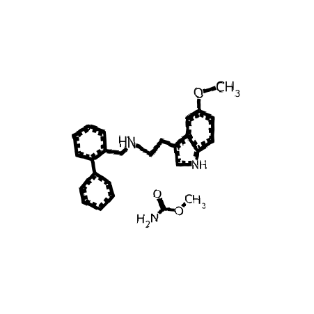 COC(N)=O.COc1ccc2[nH]cc(CCNCc3ccccc3-c3ccccc3)c2c1